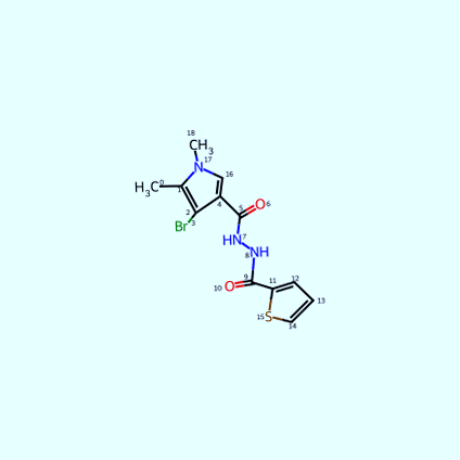 Cc1c(Br)c(C(=O)NNC(=O)c2cccs2)cn1C